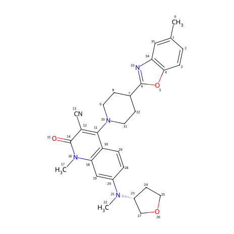 Cc1ccc2oc(C3CCN(c4c(C#N)c(=O)n(C)c5cc(N(C)[C@@H]6CCOC6)ccc45)CC3)nc2c1